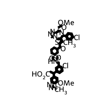 COC(=O)C[C@@H]1N=C(c2ccc(Cl)cc2)c2c(sc(C(=O)C3CCCC(S(=O)(=O)NCc4cc(C(CC(=O)O)c5cc(OC)c6c(c5)nnn6C)ccc4Cl)C3)c2C)-n2cnnc21